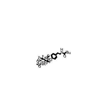 CCC(C)C(=O)NCCc1ccc(OS(=O)(=O)C(F)(F)C(F)(F)C(F)(F)S(=O)(=O)NS(C)(=O)=O)cc1